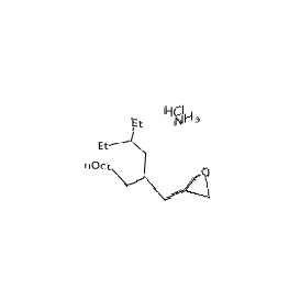 CCCCCCCCCC(CC(CC)CC)CC1CO1.Cl.N